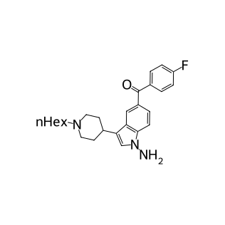 CCCCCCN1CCC(c2cn(N)c3ccc(C(=O)c4ccc(F)cc4)cc23)CC1